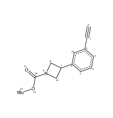 C#Cc1cccc(C2CN(C(=O)OC(C)(C)C)C2)c1